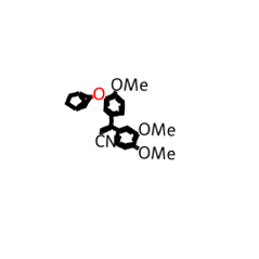 COc1ccc(C(=CC#N)c2ccc(OC)c(OC3CC4CCC3C4)c2)cc1OC